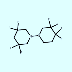 FC1(F)CN(N2CCC(F)(F)C(F)(F)C2)CC(F)(F)C1